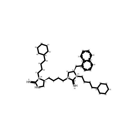 N=C1NC[C@H](CCCCN2C[C@@H](Cc3cccc4ccccc34)N(CCCCC3CCCCC3)C2=N)N1CCCCC1CCCCC1